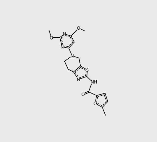 COc1cc(N2CCc3nc(NC(=O)c4ccc(C)o4)sc3C2)nc(OC)n1